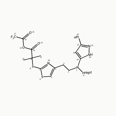 CCCCCCCN(CCc1csc(SC(C)(C)C(=O)OC(=O)C(F)(F)F)n1)c1cc(CCC)n[nH]1